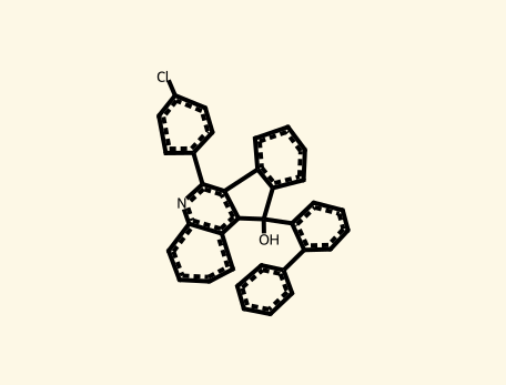 OC1(c2ccccc2-c2ccccc2)c2ccccc2-c2c(-c3ccc(Cl)cc3)nc3ccccc3c21